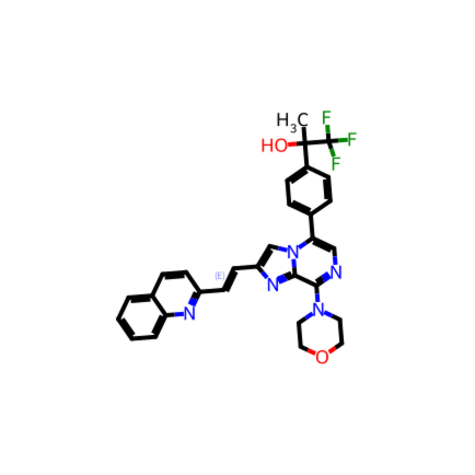 CC(O)(c1ccc(-c2cnc(N3CCOCC3)c3nc(/C=C/c4ccc5ccccc5n4)cn23)cc1)C(F)(F)F